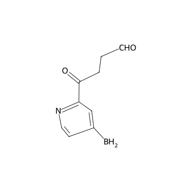 Bc1ccnc(C(=O)CCC=O)c1